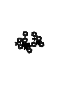 CC1(C)c2ccccc2-c2c(N(c3ccc(-c4ccccc4)cc3)c3nc(-c4ccc(-n5c6ccccc6c6ccc7c(c65)C(C)(C)c5ccccc5-7)cc4)c4ccccc4n3)cccc21